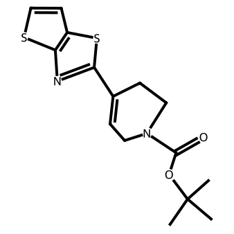 CC(C)(C)OC(=O)N1CC=C(c2nc3sccc3s2)CC1